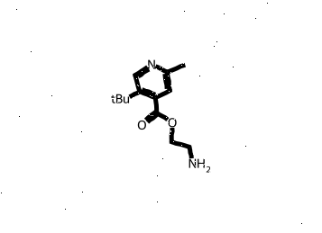 Cc1cc(C(=O)OCCN)c(C(C)(C)C)cn1